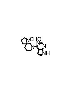 O=CN1CCCC12CCCN(c1ncnc3[nH]ccc13)C2